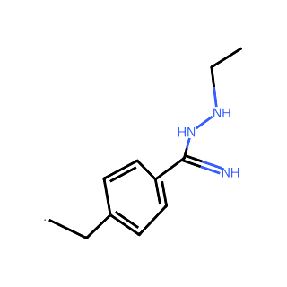 [CH2]Cc1ccc(C(=N)NNCC)cc1